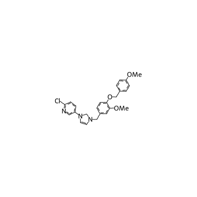 COc1ccc(COc2ccc(CN3C=CN(c4ccc(Cl)nc4)C3)cc2OC)cc1